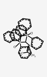 CC(C)=CC(P(Cl)(c1ccccc1)(c1ccccc1)c1ccccc1)P(Cl)(c1ccccc1)(c1ccccc1)c1ccccc1